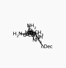 CCCCCCCCCCCCCCCCCCNCCC[C@@H](C)[C@H]1CC[C@H]2[C@@H]3[C@H](OCCCN)C[C@@H]4C[C@H](OCCCN)CC[C@]4(C)[C@H]3C[C@H](OCCCN)[C@]12C